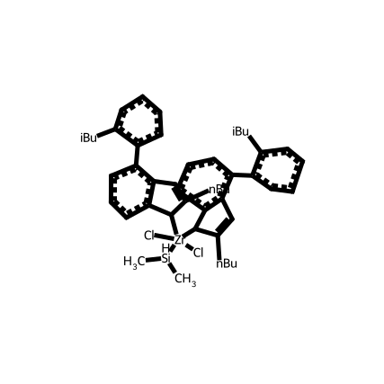 CCCCC1=Cc2c(-c3ccccc3C(C)CC)cccc2[CH]1[Zr]([Cl])([Cl])([CH]1C(CCCC)=Cc2c(-c3ccccc3C(C)CC)cccc21)[SiH](C)C